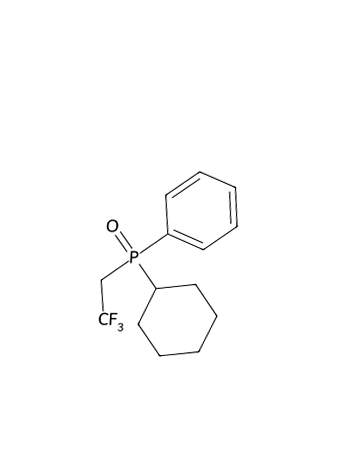 O=P(CC(F)(F)F)(c1ccccc1)C1CCCCC1